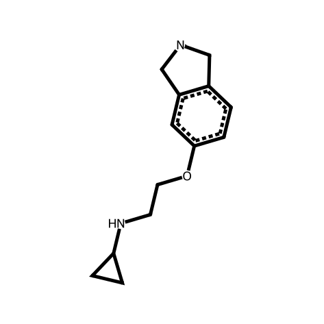 c1cc2c(cc1OCCNC1CC1)C[N]C2